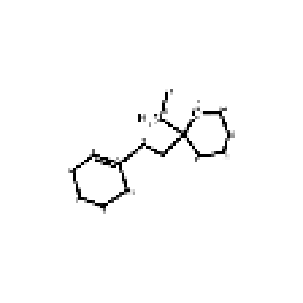 C[SiH2]C1(CCC2=CCCCC2)CCCCO1